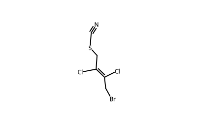 N#CSC/C(Cl)=C(\Cl)CBr